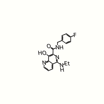 CCNc1nc(C(=O)NCc2ccc(F)cc2)c(O)c2ncccc12